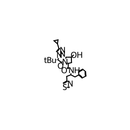 CC(C)(C)[C@@H](C(=O)N1CC(O)CC1C(=O)NC(Cc1ccccc1)Cc1cscn1)n1cc(C2CC2)nn1